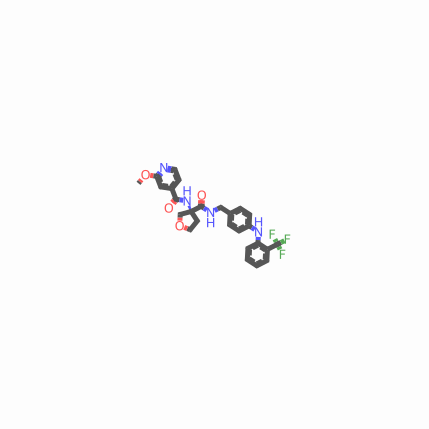 COc1cc(C(=O)N[C@@]2(C(=O)NCc3ccc(Nc4ccccc4C(F)(F)F)cc3)CCOC2)ccn1